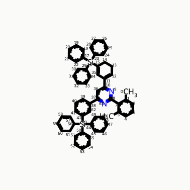 Cc1cccc(C)c1-c1nc(C2=CCCC([Si](c3ccccc3)(c3ccccc3)c3ccccc3)=C2)cc(-c2cccc([Si](c3ccccc3)(c3ccccc3)C3C=CC=CC3)c2)n1